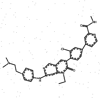 CCn1c(=O)c(-c2ccc(-c3ccnc(C(=O)NC)c3)cc2Cl)cc2cnc(Nc3ccc(CCN(C)C)cc3)nc21